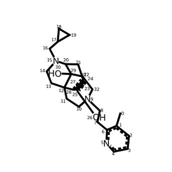 Cc1cccnc1CCN1CCC23CCN(CC4CC4)C(Cc4ccc(O)cc42)C3(O)CC1